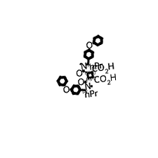 CCC[C@@H](c1ccc(Oc2ccccc2)cc1)N(C)C(=O)[C@H]1[C@@H](C(=O)O)[C@H](C(=O)O)[C@@H]1C(=O)N(C)[C@@H](CCC)c1ccc(Oc2ccccc2)cc1